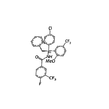 COc1ccc(C(F)(F)F)cc1[C@](Cc1ccccc1)(NC(=O)c1ccc(F)c(C(F)(F)F)c1)c1ccc(Cl)cn1